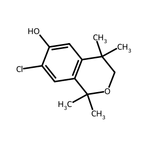 CC1(C)COC(C)(C)c2cc(Cl)c(O)cc21